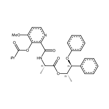 COc1ccnc(C(=O)N[C@@H](C)C(=O)O[C@@H](C)[C@@H](Oc2ccccc2)c2ccccc2)c1OC(=O)C(C)C